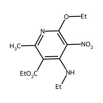 CCNc1c(C(=O)OCC)c(C)nc(OCC)c1[N+](=O)[O-]